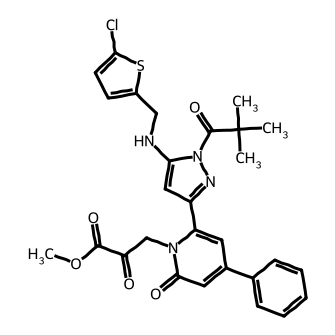 COC(=O)C(=O)Cn1c(-c2cc(NCc3ccc(Cl)s3)n(C(=O)C(C)(C)C)n2)cc(-c2ccccc2)cc1=O